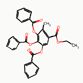 CCOC(=O)c1cc(OC(=O)c2ccccc2)c(OC(=O)c2ccccc2)c(OC(=O)c2ccccc2)c1C